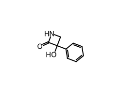 O=C1NCC1(O)c1ccccc1